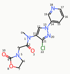 CN(C(=O)CN1CCOC1=O)c1cn(-c2cccnc2)nc1Cl